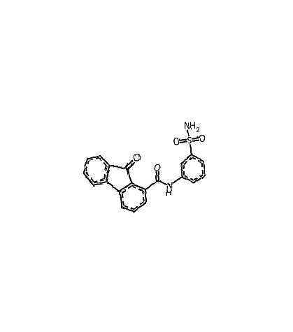 NS(=O)(=O)c1cccc(NC(=O)c2cccc3c2C(=O)c2ccccc2-3)c1